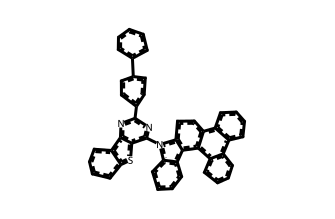 c1ccc(-c2ccc(-c3nc(-n4c5ccccc5c5c6c7ccccc7c7ccccc7c6ccc54)c4sc5ccccc5c4n3)cc2)cc1